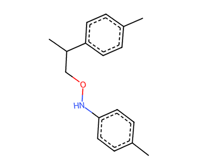 Cc1ccc(NOCC(C)c2ccc(C)cc2)cc1